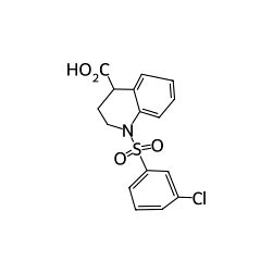 O=C(O)C1CCN(S(=O)(=O)c2cccc(Cl)c2)c2ccccc21